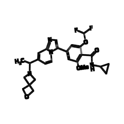 COc1cc(-c2cnc3cc(C(C)N4CC5(COC5)C4)ccn23)cc(OC(F)F)c1C(=O)NC1CC1